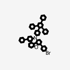 Brc1ccc(-c2ccc(N(c3ccc(-c4ccccc4)cc3)c3ccc(-c4c(-c5ccccc5)cc(-c5ccccc5)cc4-c4ccccc4)cc3)c3c2oc2ccccc23)cc1